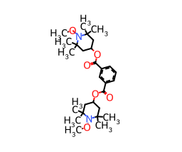 CON1C(C)(C)CC(OC(=O)c2cccc(C(=O)OC3CC(C)(C)N(OC)C(C)(C)C3)c2)CC1(C)C